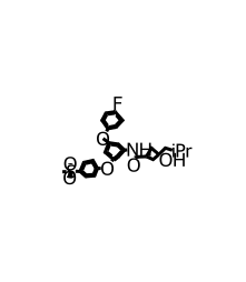 CC(C)CC1(O)CC(C(=O)Nc2cc(Oc3ccc(F)cc3)cc(Oc3ccc(S(C)(=O)=O)cc3)c2)C1